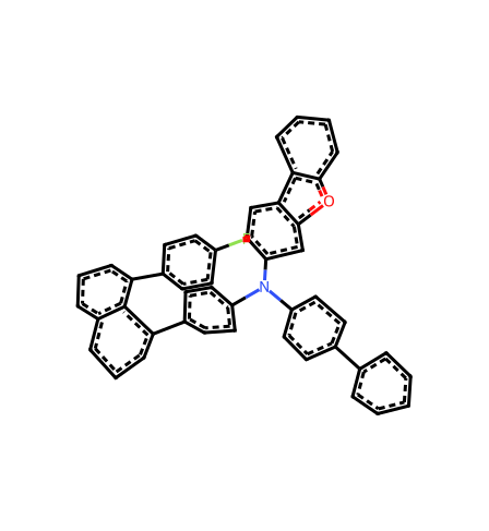 Fc1ccc(-c2cccc3cccc(-c4ccc(N(c5ccc(-c6ccccc6)cc5)c5ccc6c(c5)oc5ccccc56)cc4)c23)cc1